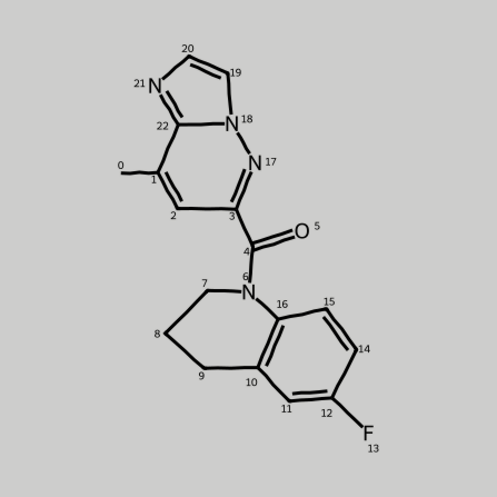 Cc1cc(C(=O)N2CCCc3cc(F)ccc32)nn2ccnc12